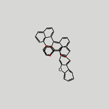 c1ccc(-c2cccc(-c3cccc4cccc(-c5c6ccccc6c(-c6ccc7c(c6)oc6ccccc67)c6ccccc56)c34)c2)cc1